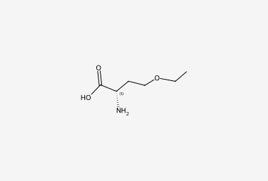 CCOCC[C@H](N)C(=O)O